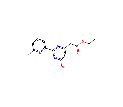 CCOC(=O)Cc1cc(O)nc(-c2cccc(C)n2)n1